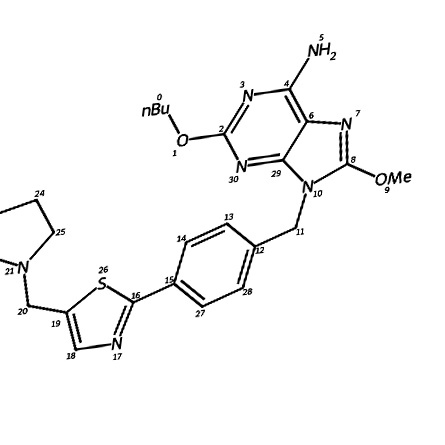 CCCCOc1nc(N)c2nc(OC)n(Cc3ccc(-c4ncc(CN5CCCC5)s4)cc3)c2n1